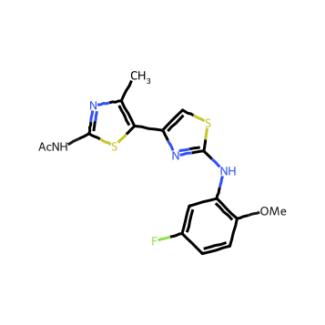 COc1ccc(F)cc1Nc1nc(-c2sc(NC(C)=O)nc2C)cs1